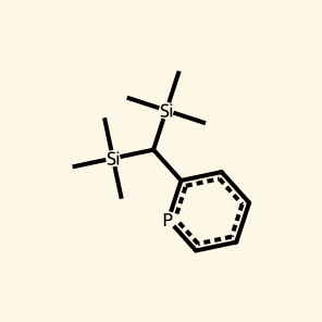 C[Si](C)(C)C(c1ccccp1)[Si](C)(C)C